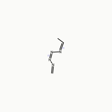 C=N/N=N\N=C/C